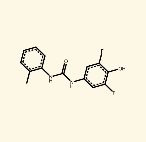 Cc1ccccc1NC(=O)Nc1cc(F)c(O)c(F)c1